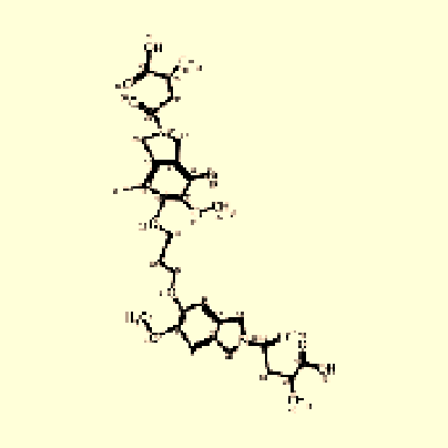 COc1cc2c(cc1OCCCOc1c(F)c3c(c(Br)c1OC)CN(C(=O)C[C@H](C)C(=O)O)C3)CN(C(=O)C[C@H](C)C(=O)O)C2